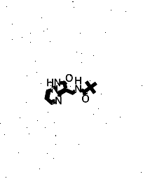 CC(C)(C)C(=O)NCc1c(=O)[nH]n2cccnc12